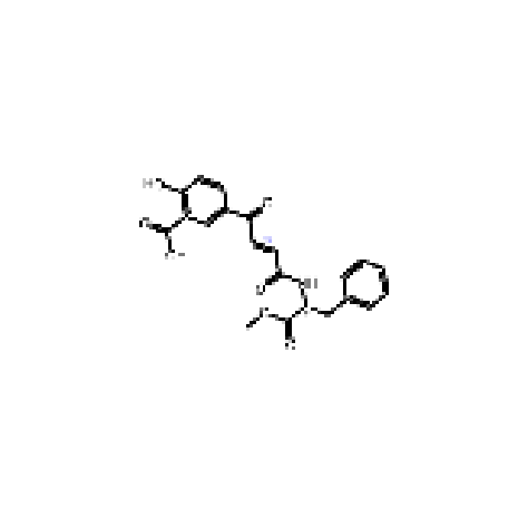 COC(=O)[C@H](Cc1ccccc1)NC(=O)/C=C/C(=O)c1ccc(O)c(C(=O)O)c1